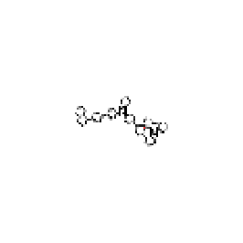 c1ccc(N(c2ccc(-c3ccc(-c4ccccc4-n4c5ccccc5c5ccccc54)cc3)cc2)c2ccc(-c3ccc(-c4cccc5ccccc45)cc3)cc2)cc1